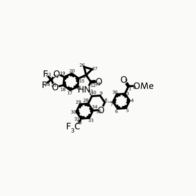 COC(=O)c1cccc([C@H]2C[C@@H](NC(=O)C3(c4ccc5c(c4)OC(F)(F)O5)CC3)c3ccc(C(F)(F)F)cc3O2)c1